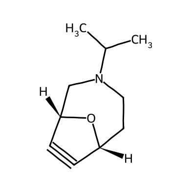 CC(C)N1CC[C@@H]2C#C[C@H](C1)O2